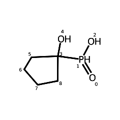 O=[PH](O)C1(O)CCCC1